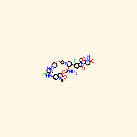 CC(C)n1c(=O)c(OCC(N)=O)cc2cc(Nc3nc(N4CCC(O[C@H]5C[C@H](N6CCC(c7ccc8c(c7F)[C@@H](C)N(C7CCC(=O)NC7=O)C8=O)CC6)C5)CC4)ncc3Cl)ccc21